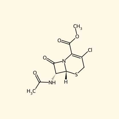 COC(=O)C1=C(Cl)CS[C@@H]2[C@H](NC(C)=O)C(=O)N12